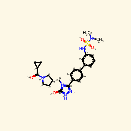 CN(C)S(=O)(=O)Nc1cccc(-c2ccc(-c3n[nH]c(=O)n3C[C@@H]3CCN(C(=O)C4CC4)C3)cc2)c1